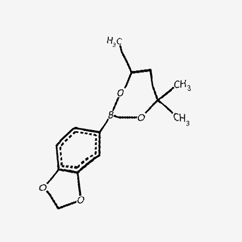 CC1CC(C)(C)OB(c2ccc3c(c2)OCO3)O1